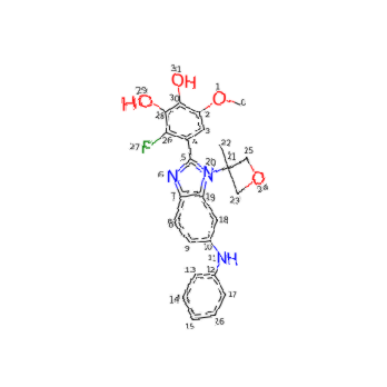 COc1cc(-c2nc3ccc(Nc4ccccc4)cc3n2C2(C)COC2)c(F)c(O)c1O